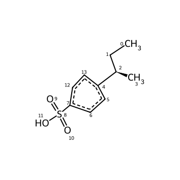 CC[C@@H](C)c1ccc(S(=O)(=O)O)cc1